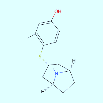 Cc1cc(O)ccc1S[C@@H]1C[C@H]2CC[C@@H](C1)N2C